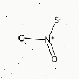 O=[N+]([O-])[S]